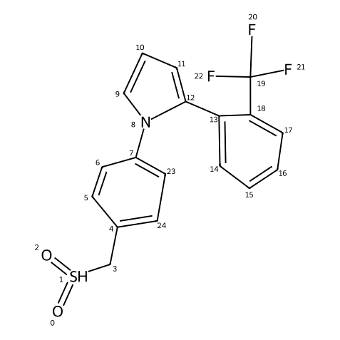 O=[SH](=O)Cc1ccc(-n2cccc2-c2ccccc2C(F)(F)F)cc1